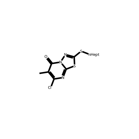 CCCCCCCSc1nn2c(=O)c(C)c(Cl)nc2s1